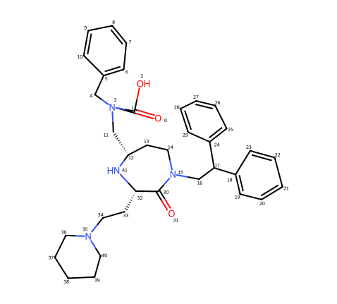 O=C(O)N(Cc1ccccc1)C[C@@H]1CCN(CC(c2ccccc2)c2ccccc2)C(=O)[C@H](CCN2CCCCC2)N1